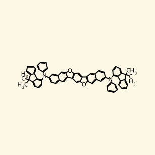 CC1(C)c2ccccc2-c2c(N(c3ccccc3)c3ccc4cc5c(cc4c3)oc3cc4c(cc35)oc3cc5cc(N(c6ccccc6)c6cccc7c6-c6ccccc6C7(C)C)ccc5cc34)cccc21